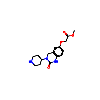 COC(=O)COc1ccc2c(c1)CN(C1CCNCC1)C(=O)N2